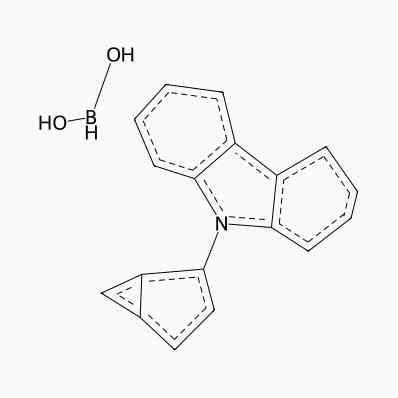 OBO.c1ccc2c(c1)c1ccccc1n2-c1ccc2cc1-2